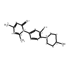 Cc1cc(=O)n(-c2ccc(N3CCC(O)CC3)c(F)c2)c(C)n1